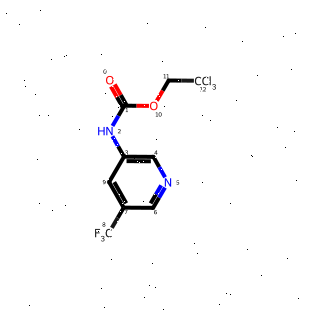 O=C(Nc1cncc(C(F)(F)F)c1)OCC(Cl)(Cl)Cl